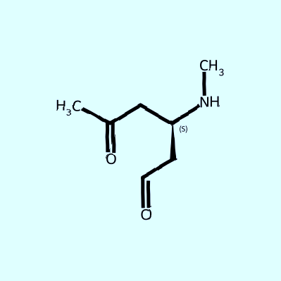 CN[C@@H](CC=O)CC(C)=O